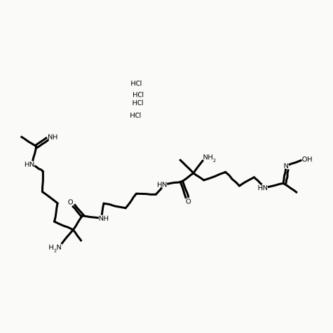 CC(=N)NCCCCC(C)(N)C(=O)NCCCCNC(=O)C(C)(N)CCCCNC(C)=NO.Cl.Cl.Cl.Cl